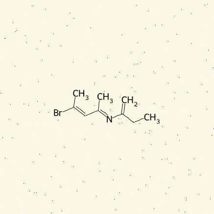 C=C(CC)/N=C(C)/C=C(\C)Br